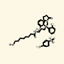 CCCCCCCCCCCCCCCCCC(=O)NCCC[N+](CN1CCCC1=O)(c1ccccc1C)c1ccccc1C.Cc1ccc(S(=O)(=O)[O-])cc1